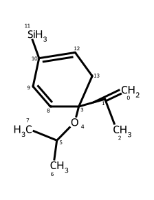 C=C(C)C1(OC(C)C)C=CC([SiH3])=CC1